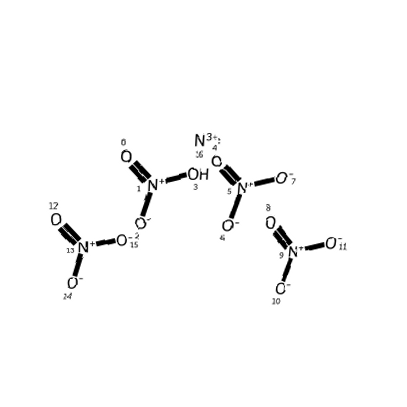 O=[N+]([O-])O.O=[N+]([O-])[O-].O=[N+]([O-])[O-].O=[N+]([O-])[O-].[N+3]